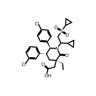 CC[C@]1(CC(=O)O)C[C@H](c2cccc(Cl)c2)[C@@H](c2ccc(Cl)cc2)N(C(CS(=O)(=O)C2CC2)C2CC2)C1=O